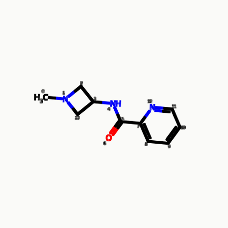 CN1CC(NC(=O)c2ccccn2)C1